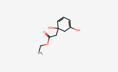 CCOC(=O)CC1(O)C=CC=C(O)C1